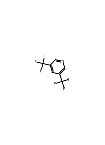 FC(F)(F)c1[c]n[c]c(C(F)(F)F)[c]1